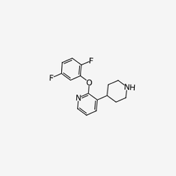 Fc1ccc(F)c(Oc2ncccc2C2CCNCC2)c1